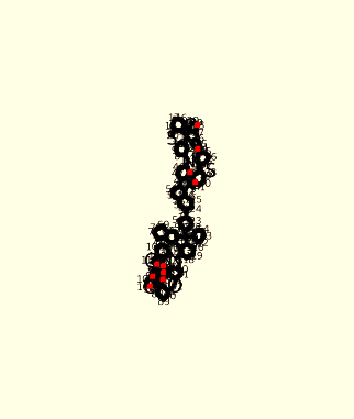 CC1(C)c2cc(N(c3ccc4c(c3)C3(c5ccccc5S4)c4ccccc4-c4ccccc43)c3cccc4sc5ccccc5c34)ccc2-c2ccc3cc(-c4ccc(C5(c6ccccc6)c6cc7ccccc7cc6-c6c(N(c7ccc8c(c7)C7(c9ccccc9O8)c8ccccc8-c8ccccc87)c7cccc8oc9ccccc9c78)cccc65)cc4)ccc3c21